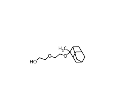 CC1(OCCOCCO)C2CC3CC(C2)CC1C3